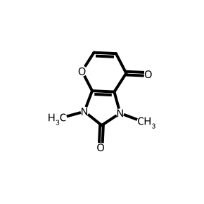 Cn1c(=O)n(C)c2c(=O)ccoc21